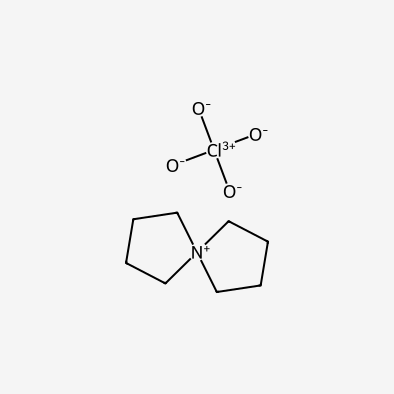 C1CC[N+]2(C1)CCCC2.[O-][Cl+3]([O-])([O-])[O-]